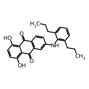 CCCc1cccc(CCC)c1Nc1ccc2c(c1)C(=O)c1c(O)ccc(O)c1C2=O